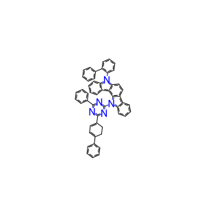 C1=C(c2ccccc2)CCC(c2nc(-c3ccccc3)nc(-n3c4ccccc4c4ccc5c(c6ccccc6n5-c5ccccc5-c5ccccc5)c43)n2)=C1